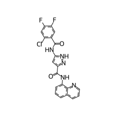 O=C(Nc1cccc2cccnc12)c1cc(NC(=O)c2cc(F)c(F)cc2Cl)[nH]n1